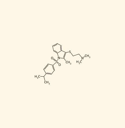 Cc1c(SCCN(C)C)c2ccccc2n1S(=O)(=O)c1ccc(C(C)C)cc1